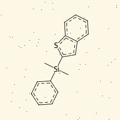 C[Si](C)(c1ccccc1)c1cc2ccccc2s1